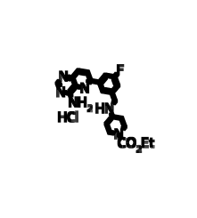 CCOC(=O)N1CCC(NCc2cc(F)cc(-c3ccc4ncnc(N)c4n3)c2)CC1.Cl